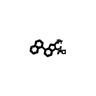 CC(C)C1=Cc2c(-c3cccc4ccccc34)cccc2C1[Si](C)(C)Cl